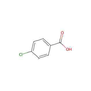 O=C(O)c1c[c]c(Cl)cc1